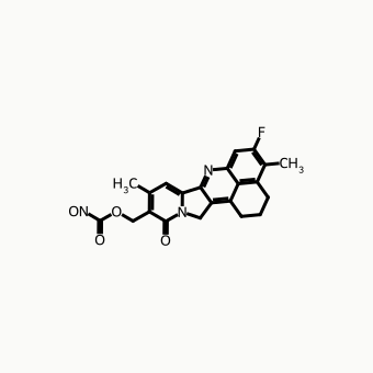 Cc1cc2n(c(=O)c1COC(=O)N=O)Cc1c-2nc2cc(F)c(C)c3c2c1CCC3